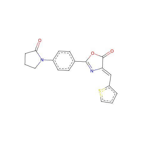 O=C1OC(c2ccc(N3CCCC3=O)cc2)=NC1=Cc1cccs1